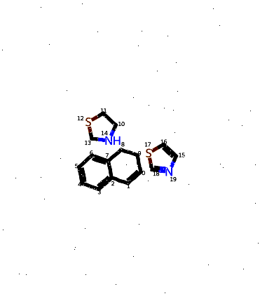 C1=Cc2ccccc2CC1.C1CSCN1.c1cscn1